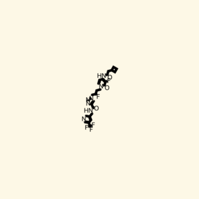 O=C(CC1CCC1)Nc1ccn(CCC(F)Cn2cc(C(=O)NCc3cncc(C(F)(F)F)c3)nn2)c(=O)c1F